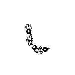 COc1ccc(COCC(OC(=O)N2CCC3(CCCN(S(=O)(=O)c4ccc(F)cc4)C3)CC2)C(F)(F)F)cc1